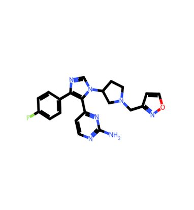 Nc1nccc(-c2c(-c3ccc(F)cc3)ncn2C2CCN(Cc3ccon3)C2)n1